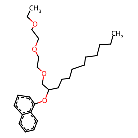 CCCCCCCCCCC(COCCOCCOCC)Oc1cccc2ccccc12